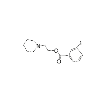 O=C(OCCN1CCCCC1)c1cccc(I)c1